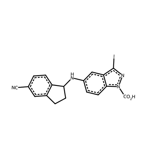 N#Cc1ccc2c(c1)CCC2Nc1ccc2c(c1)c(I)nn2C(=O)O